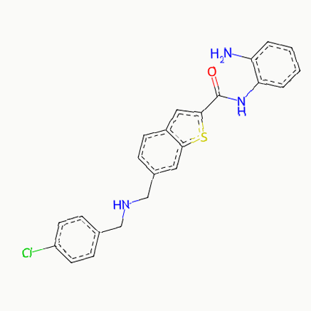 Nc1ccccc1NC(=O)c1cc2ccc(CNCc3ccc(Cl)cc3)cc2s1